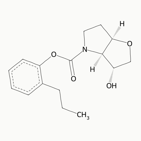 CCCc1ccccc1OC(=O)N1CC[C@H]2OC[C@H](O)[C@H]21